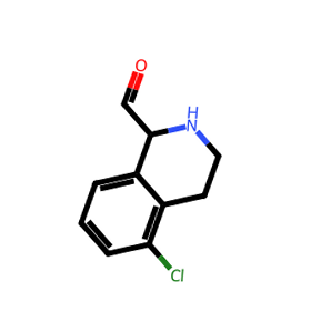 O=CC1NCCc2c(Cl)cccc21